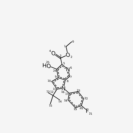 CCOC(=O)c1ncc2c(cc(C(C)(C)C)n2-c2ccc(F)cc2)c1O